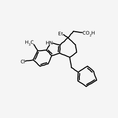 CCC1(CC(=O)O)CCC(Cc2ccccc2)c2c1[nH]c1c(C)c(Cl)ccc21